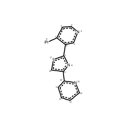 CC(C)c1ccncc1-c1nc(-c2ccccn2)cs1